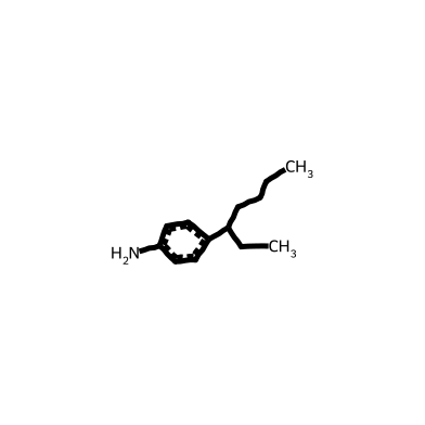 CCCCC(CC)c1ccc(N)cc1